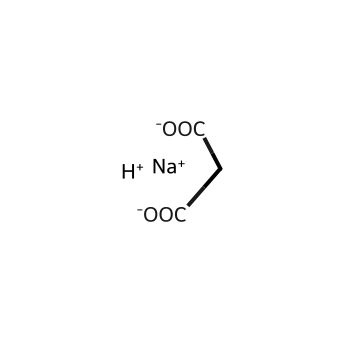 O=C([O-])CC(=O)[O-].[H+].[Na+]